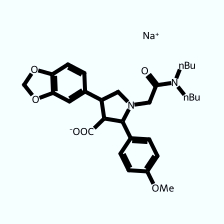 CCCCN(CCCC)C(=O)CN1CC(c2ccc3c(c2)OCO3)C(C(=O)[O-])C1c1ccc(OC)cc1.[Na+]